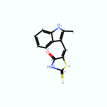 Cc1[nH]c2ccccc2c1/C=C1/SC(=S)NC1=O